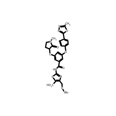 Cc1nnc(-c2ccc(Oc3cc(OC4CCN(C)C4=O)cc(C(=O)Nc4nc(COC(C)(C)C)c(C(=O)O)s4)c3)cc2)o1